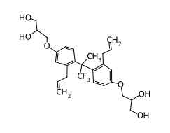 C=CCc1cc(OCC(O)CO)ccc1C(C)(c1ccc(OCC(O)CO)cc1CC=C)C(F)(F)F